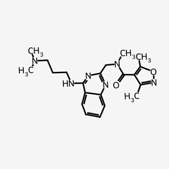 Cc1noc(C)c1C(=O)N(C)Cc1nc(NCCCN(C)C)c2ccccc2n1